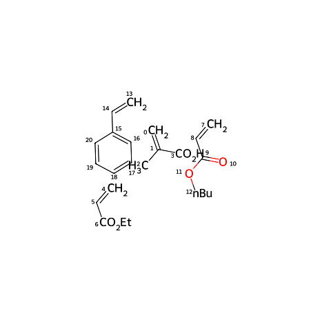 C=C(C)C(=O)O.C=CC(=O)OCC.C=CC(=O)OCCCC.C=Cc1ccccc1